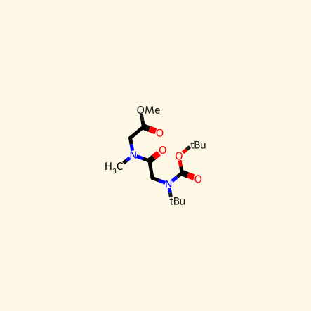 COC(=O)CN(C)C(=O)CN(C(=O)OC(C)(C)C)C(C)(C)C